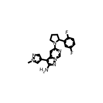 Cn1cc(-c2c(N)nn3cnc(N4CCCC4c4cc(F)ccc4F)cc23)cn1